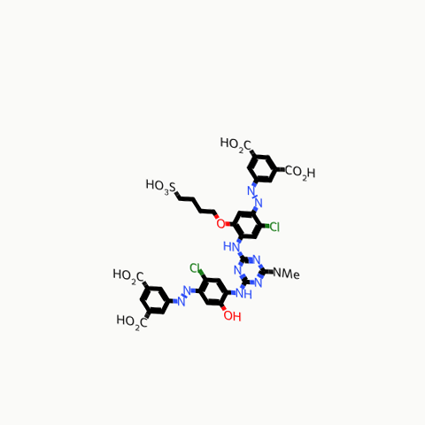 CNc1nc(Nc2cc(Cl)c(N=Nc3cc(C(=O)O)cc(C(=O)O)c3)cc2O)nc(Nc2cc(Cl)c(N=Nc3cc(C(=O)O)cc(C(=O)O)c3)cc2OCCCCS(=O)(=O)O)n1